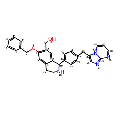 OCc1cc2c(cc1OCc1ccccc1)CCNC2c1ccc(Cc2cnc3ncccn23)cc1